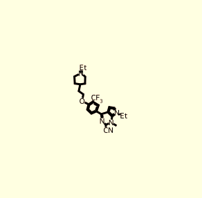 CCN1CCC(CCOc2ccc(C3=NC(C#N)N(C)c4c3ccn4CC)cc2C(F)(F)F)CC1